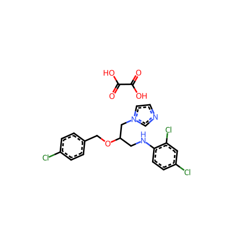 Clc1ccc(COC(CNc2ccc(Cl)cc2Cl)Cn2ccnc2)cc1.O=C(O)C(=O)O